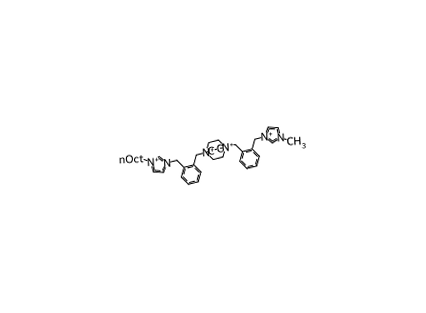 CCCCCCCC[n+]1ccn(Cc2ccccc2C[N+]23CC[N+](Cc4ccccc4C[n+]4ccn(C)c4)(CC2)CC3)c1